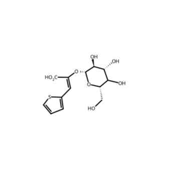 O=C(O)C(=Cc1cccs1)O[C@H]1O[C@@H](CO)C(O)[C@@H](O)[C@@H]1O